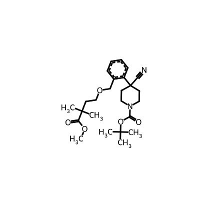 COC(=O)C(C)(C)CCOCc1ccccc1C1(C#N)CCN(C(=O)OC(C)(C)C)CC1